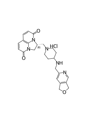 Cl.O=c1ccc2ccc(=O)n3c2n1C[C@H]3CN1CCC(NCc2cc3c(cn2)COC3)CC1